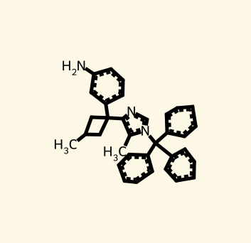 Cc1c(C2(c3cccc(N)c3)CC(C)C2)ncn1C(c1ccccc1)(c1ccccc1)c1ccccc1